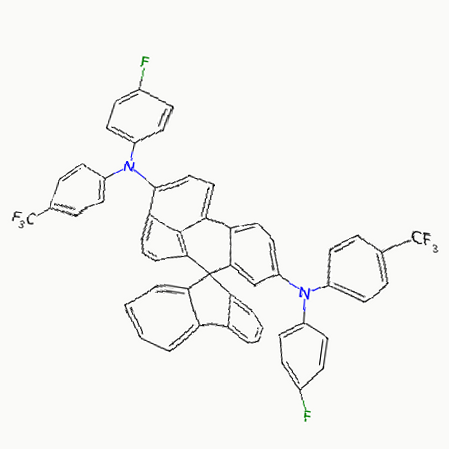 Fc1ccc(N(c2ccc(C(F)(F)F)cc2)c2ccc3c(c2)C2(c4ccccc4-c4ccccc42)c2cccc4c(N(c5ccc(F)cc5)c5ccc(C(F)(F)F)cc5)ccc-3c24)cc1